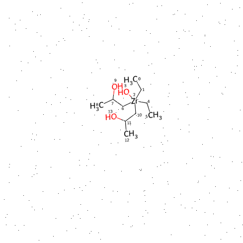 C[CH2][Zr]([OH])([CH2]C)([CH2]C(C)O)[CH2]C(C)O